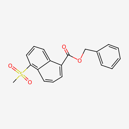 CS(=O)(=O)c1cccc2c(C(=O)OCc3ccccc3)cccc12